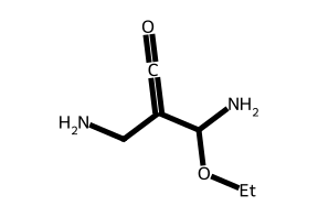 CCOC(N)C(=C=O)CN